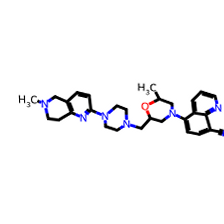 CC1CN(c2ccc(C#N)c3ncccc23)CC(CN2CCN(c3ccc4c(n3)CCN(C)C4)CC2)O1